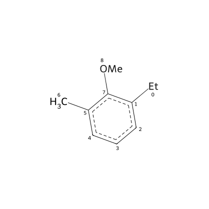 CCc1cccc(C)c1OC